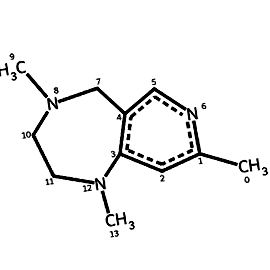 Cc1cc2c(cn1)CN(C)CCN2C